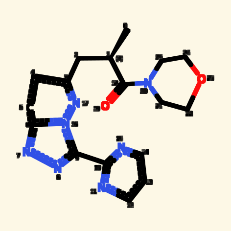 C[C@H](Cc1ccc2nnc(-c3ncccn3)n2n1)C(=O)N1CCOCC1